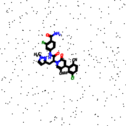 COc1cn(C(Cc2ccn(C)n2)C(=O)Nc2ccc(C(N)=O)c(F)c2)c(=O)cc1-c1cc(Cl)ccc1C#N